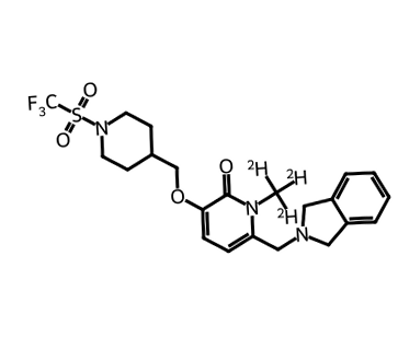 [2H]C([2H])([2H])n1c(CN2Cc3ccccc3C2)ccc(OCC2CCN(S(=O)(=O)C(F)(F)F)CC2)c1=O